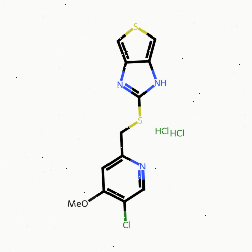 COc1cc(CSc2nc3cscc3[nH]2)ncc1Cl.Cl.Cl